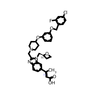 C/C(=C\C(=O)O)c1ccc2nc(CN3CCC(Oc4cccc(OCc5ccc(Cl)cc5F)c4)CC3)n(C[C@@H]3CCO3)c2c1